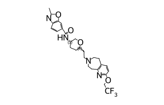 Cc1nc2ccc(C(=O)N[C@H]3CC[C@H](CCN4CCc5ccc(OCC(F)(F)F)nc5CC4)OC3)cc2o1